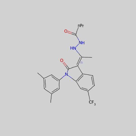 CCCC(=O)NN/C(C)=C1\C(=O)N(c2cc(C)cc(C)c2)c2cc(C(F)(F)F)ccc21